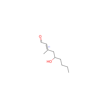 CCCCC(O)C/C(C)=C/C=O